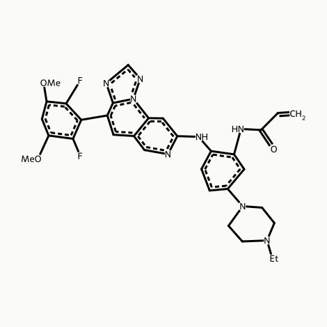 C=CC(=O)Nc1cc(N2CCN(CC)CC2)ccc1Nc1cc2c(cn1)cc(-c1c(F)c(OC)cc(OC)c1F)c1ncnn12